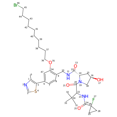 Cc1ncsc1-c1ccc(CNC(=O)[C@@H]2C[C@@H](O)CN2C(=O)C(NC(=O)C2(F)CC2)C(C)(C)C)c(OCCCCCCCCCCBr)c1